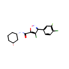 O=C(N[C@@H]1CCC[C@H](O)C1)c1onc(-c2ccc(Cl)c(F)c2)c1Cl